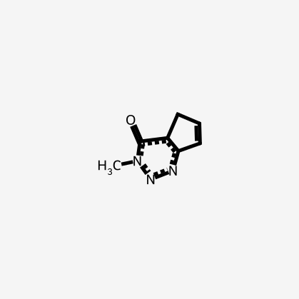 Cn1nnc2c(c1=O)CC=C2